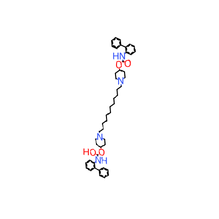 O=C(Nc1ccccc1-c1ccccc1)OC1CCN(CCCCCCCCCCCCN2CCC(OC(O)Nc3ccccc3-c3ccccc3)CC2)CC1